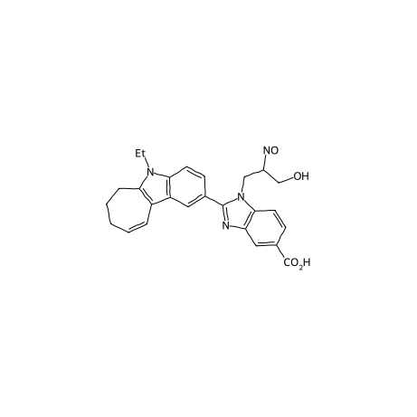 CCn1c2c(c3cc(-c4nc5cc(C(=O)O)ccc5n4CC(CO)N=O)ccc31)C=CCCC2